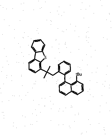 CC(C)(C)c1cccc2cccc(-c3ccccc3CC(C)(C)c3cccc4c3sc3ccccc34)c12